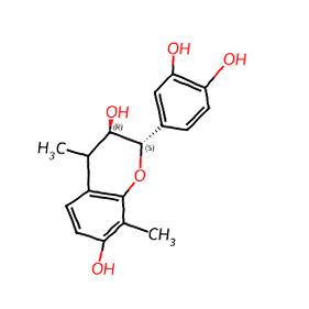 Cc1c(O)ccc2c1O[C@@H](c1ccc(O)c(O)c1)[C@H](O)C2C